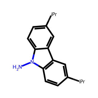 CC(C)c1ccc2c(c1)c1cc(C(C)C)ccc1n2N